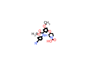 CCOc1cc(OC2CCN(C(=O)O)CC2)cc(C(Nc2ccc(C#N)cc2)C(=O)OC)c1